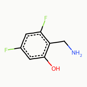 NCc1c(O)cc(F)cc1F